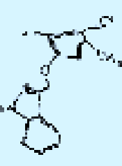 Cc1cc(OCc2n[nH]c3ncccc23)c(C(C)(C)C)cc1C#N